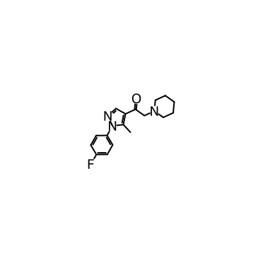 Cc1c(C(=O)CN2CCCCC2)cnn1-c1ccc(F)cc1